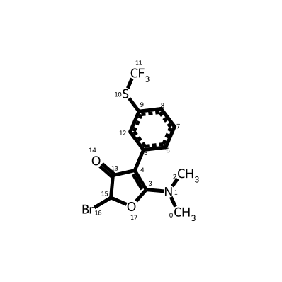 CN(C)C1=C(c2cccc(SC(F)(F)F)c2)C(=O)C(Br)O1